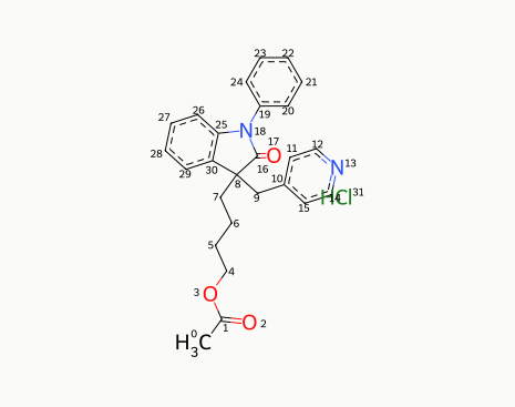 CC(=O)OCCCCC1(Cc2ccncc2)C(=O)N(c2ccccc2)c2ccccc21.Cl